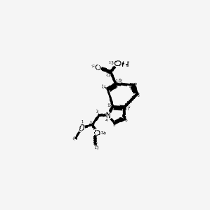 COC(Cn1ccc2ccc(C(=O)O)cc21)OC